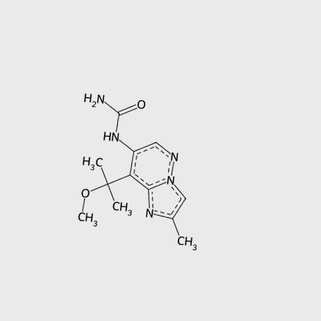 COC(C)(C)c1c(NC(N)=O)cnn2cc(C)nc12